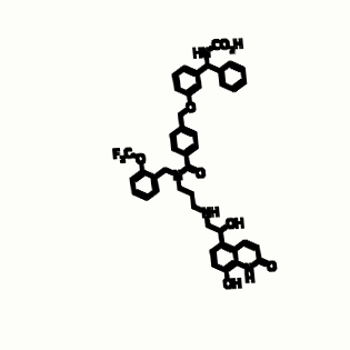 O=C(O)N[C@@H](c1ccccc1)c1cccc(OCc2ccc(C(=O)N(CCCNCC(O)c3ccc(O)c4[nH]c(=O)ccc34)Cc3ccccc3OC(F)(F)F)cc2)c1